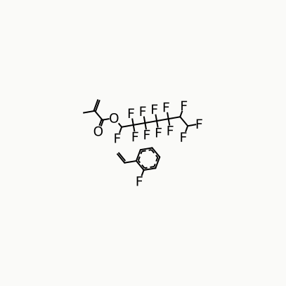 C=C(C)C(=O)OC(F)C(F)(F)C(F)(F)C(F)(F)C(F)(F)C(F)C(F)F.C=Cc1ccccc1F